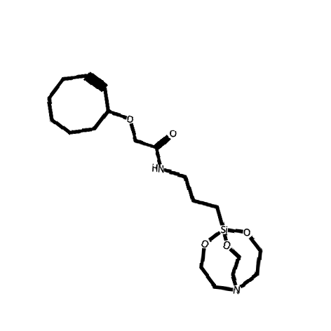 O=C(COC1C#CCCCCC1)NCCC[Si]12OCCN(CCO1)CCO2